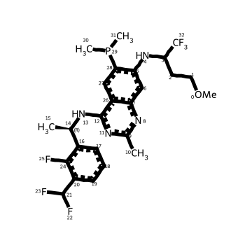 COCCC(Nc1cc2nc(C)nc(N[C@H](C)c3cccc(C(F)F)c3F)c2cc1P(C)C)C(F)(F)F